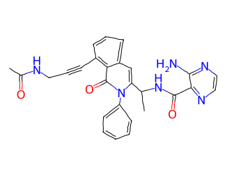 CC(=O)NCC#Cc1cccc2cc(C(C)NC(=O)c3nccnc3N)n(-c3ccccc3)c(=O)c12